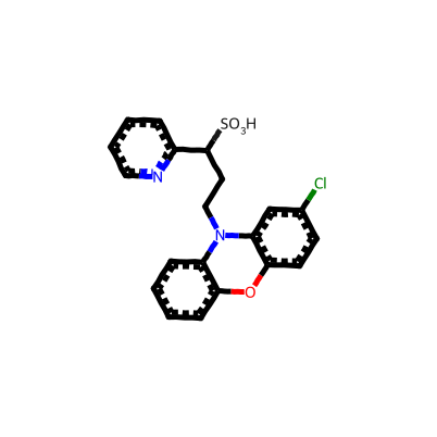 O=S(=O)(O)C(CCN1c2ccccc2Oc2ccc(Cl)cc21)c1ccccn1